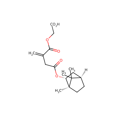 C=C(CC(=O)O[C@@H]1C[C@H]2CC[C@]1(C)C2(C)C)C(=O)OCC(=O)O